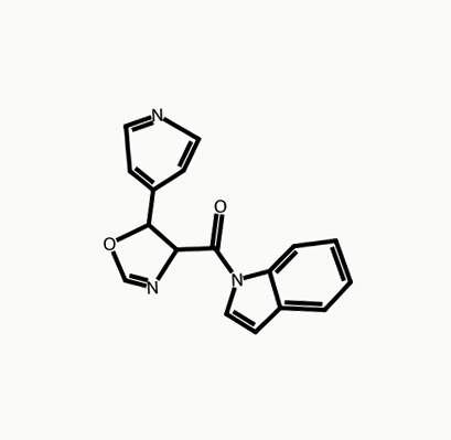 O=C(C1N=COC1c1ccncc1)n1ccc2ccccc21